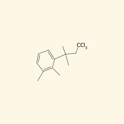 Cc1cccc(C(C)(C)CC(Cl)(Cl)Cl)c1C